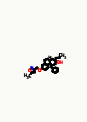 CCC[C@@]1(O)CC[C@@]2(Cc3ccccc3)c3ccc(OCc4cc(C)on4)cc3CC[C@@H]2C1